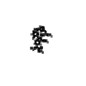 C=C(C(N)=O)c1ccc2c(c1)c(C)cn2-c1nc(Nc2cnn(CC(C)O)c2)ncc1F